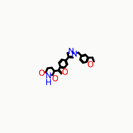 O=C1CCC(c2coc3cc(-c4cnn(Cc5ccc6c(c5)CCO6)c4)ccc23)C(=O)N1